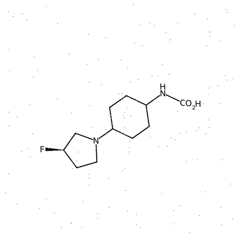 O=C(O)NC1CCC(N2CC[C@@H](F)C2)CC1